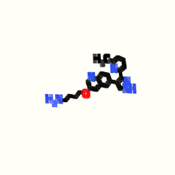 Cc1cccc(-c2n[nH]cc2-c2ccc3ncc(OCCCCN)cc3c2)n1